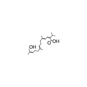 CC(=CCCC(C)=CCCC(C)=CC=C(C(=O)O)C(C)C)CO